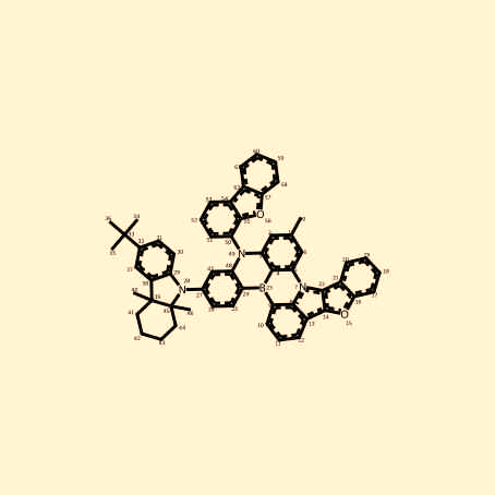 Cc1cc2c3c(c1)-n1c4c(cccc4c4oc5ccccc5c41)B3c1ccc(N3c4ccc(C(C)(C)C)cc4C4(C)CCCCC34C)cc1N2c1cccc2c1oc1ccccc12